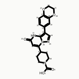 O=C(O)N1CCC(c2cc(=O)[nH]c3c(-c4ccc5c(c4)OCCO5)cnn23)CC1